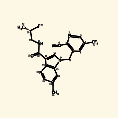 COc1ncc(C(F)(F)F)cc1Cn1cc(C(=O)NC[C@H](C)F)c2ncc(C)cc21